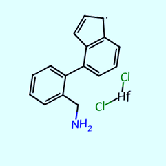 NCc1ccccc1-c1cccc2c1C=C[CH]2.[Cl][Hf][Cl]